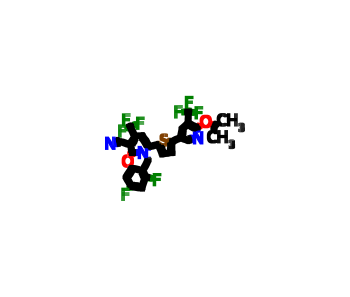 CC(C)Oc1ncc(-c2ccc(-c3cc(C(F)(F)F)c(C#N)c(=O)n3Cc3ccc(F)cc3F)s2)cc1C(F)(F)F